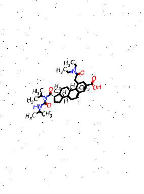 CCN(CC)C(=O)CC1CC(C(=O)O)=CC2=CC[C@H]3[C@@H]4CC[C@H](C(=O)N(C(=O)NC(C)C)C(C)C)[C@@]4(C)CC[C@@H]3[C@]21C